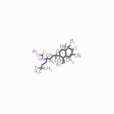 CCC(C)(C)CC[C@@](C)(CCC(C)(C)[C@]1(C)CC[C@H]2C(C)(C)C(=O)C(C#N)=C[C@]2(C)/C1=C/C(C)=O)NC(=O)OC(C)C